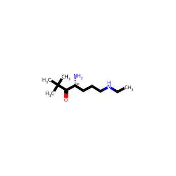 CCNCCC[C@@H](N)C(=O)C(C)(C)C